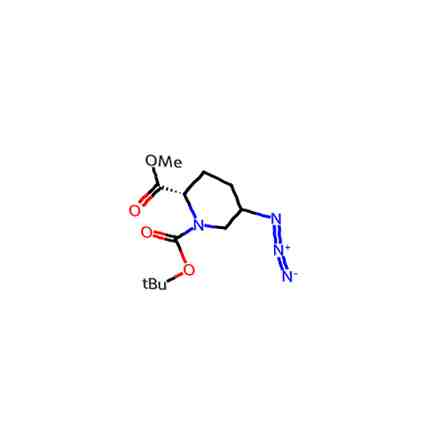 COC(=O)[C@@H]1CCC(N=[N+]=[N-])CN1C(=O)OC(C)(C)C